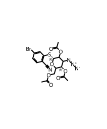 CC(=O)OCC1O[C@H](Sc2cc(Br)ccc2C#N)C(OC(C)=O)C(N=[N+]=[N-])[C@H]1OC(C)=O